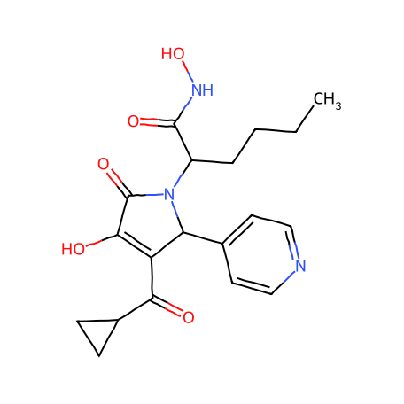 CCCCC(C(=O)NO)N1C(=O)C(O)=C(C(=O)C2CC2)C1c1ccncc1